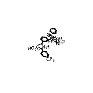 N=C(N)NN(c1cccc(C(CC(=O)O)NC(=O)c2ccc(C(F)(F)F)cc2)c1)S(=O)(=O)c1ccccc1